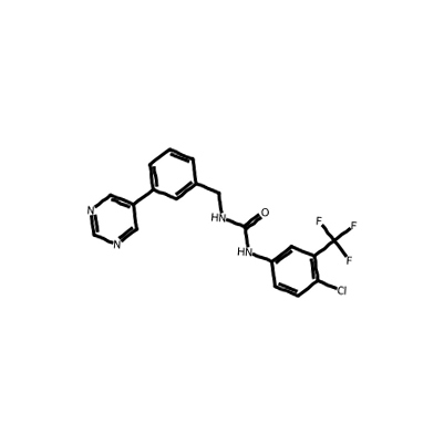 O=C(NCc1cccc(-c2cncnc2)c1)Nc1ccc(Cl)c(C(F)(F)F)c1